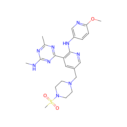 CNc1nc(C)nc(-c2cc(CN3CCN(S(C)(=O)=O)CC3)cnc2Nc2ccc(OC)nc2)n1